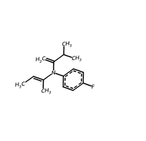 C=C(C(C)C)N(/C(C)=C/C)c1ccc(F)cc1